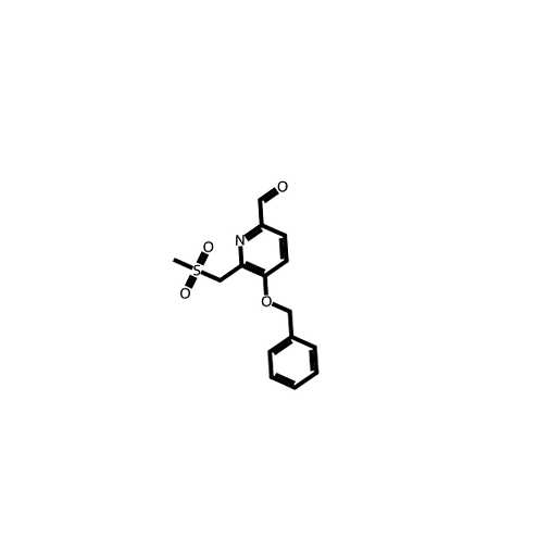 CS(=O)(=O)Cc1nc(C=O)ccc1OCc1ccccc1